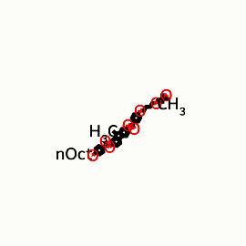 CCCCCCCCOc1ccc(C(=O)Oc2ccc3c(c2)C(C)c2cc(OC(=O)c4ccc(OCCCCOCC5(C)COC5)cc4)ccc2-3)cc1